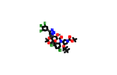 CO[C@@H]1[C@@H](n2cc(-c3cc(F)c(F)c(F)c3)nn2)[C@H]2OC(C)(C)OC[C@H]2O[C@H]1C(=O)N(c1cc(Cl)cc(Cl)c1)[C@H]1CN(C(=O)OC(C)(C)C)C[C@@H]1O[Si](C)(C)C(C)(C)C